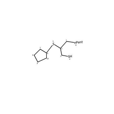 CCCCCCC(CS)SC1CCCC1